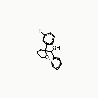 OC(c1ccccn1)C1(c2cccc(F)c2)CCCO1